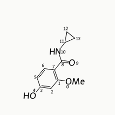 COc1cc(O)ccc1C(=O)NC1CC1